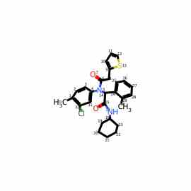 Cc1ccc(N(C(=O)Cc2cccs2)C(C(=O)NC2CCCCC2)c2ccccc2C)cc1Cl